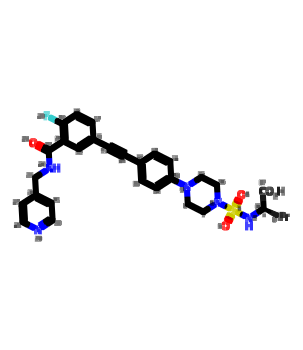 CC(C)[C@@H](NS(=O)(=O)N1CCN(c2ccc(C#Cc3ccc(F)c(C(=O)NCc4ccncc4)c3)cc2)CC1)C(=O)O